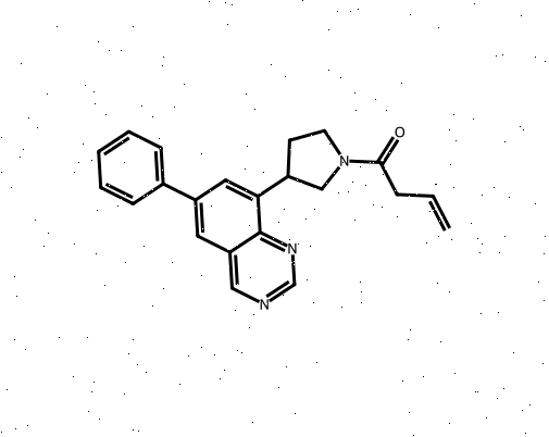 C=CCC(=O)N1CCC(c2cc(-c3ccccc3)cc3cncnc23)C1